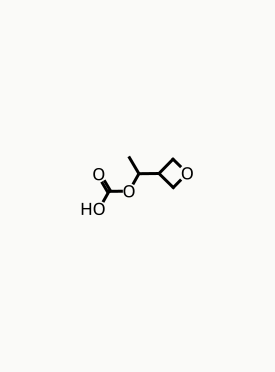 CC(OC(=O)O)C1COC1